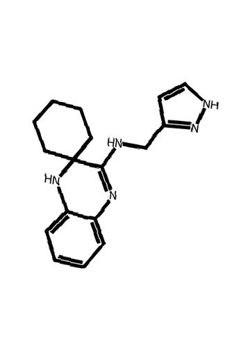 c1ccc2c(c1)N=C(NCc1cc[nH]n1)C1(CCCCC1)N2